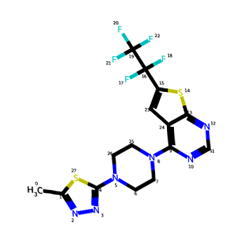 Cc1nnc(N2CCN(c3ncnc4sc(C(F)(F)C(F)(F)F)cc34)CC2)s1